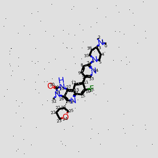 CN(C)C1CCN(c2ccc(-c3cc4c(cc3F)nc([C@H]3CCCOC3)c3c4[nH]c(=O)n3C)cn2)CC1